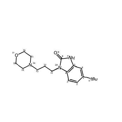 CC(C)(C)c1ccc2c(c1)[nH]c(=O)n2CCCN1CCOCC1